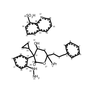 CCCC1(CCc2ccccc2)CC(O)C(c2ccccc2NN)(C2CC2)C(=O)O1.O=S(=O)(O)c1cccc2cccnc12